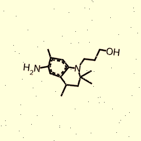 Cc1cc2c(cc1N)C(C)CC(C)(C)N2CCCO